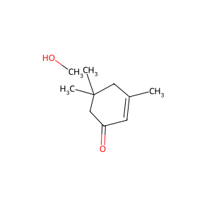 CC1=CC(=O)CC(C)(C)C1.CO